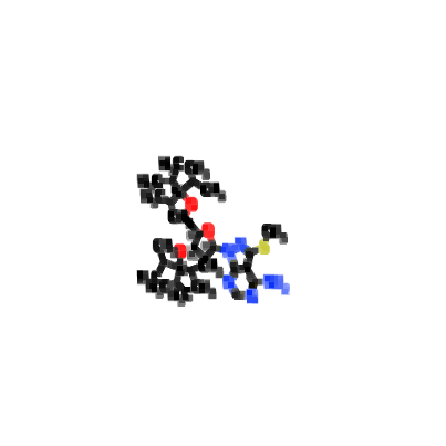 CSc1nn([C@H]2C[C@H](O[Si](C(C)C)(C(C)C)C(C)C)[C@@H](CO[Si](C(C)C)(C(C)C)C(C)C)O2)c2ncnc(N)c12